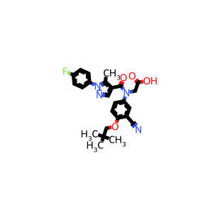 Cc1c(C(=O)N(CC(=O)O)c2ccc(OCC(C)(C)C)c(C#N)c2)cnn1-c1ccc(F)cc1